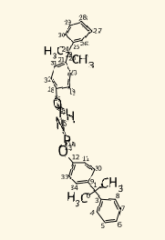 CC(C)(c1ccccc1)c1ccc(OP=NPOc2ccc(C(C)(C)c3ccccc3)cc2)cc1